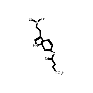 CCN(CCc1c[nH]c2cc(OC(=O)CCC(=O)O)ccc12)C(C)C